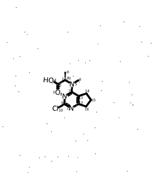 C[C@H](C(=O)O)N(C)c1nc(Cl)nc2c1CCC2